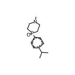 CC(C)c1ccc(P2(=O)CCN(C)CC2)cc1